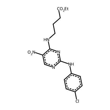 CCOC(=O)CCCNc1nc(Nc2ccc(Cl)cc2)ncc1[N+](=O)[O-]